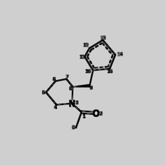 CC(=O)N1CCCC[C@H]1Cc1ccccc1